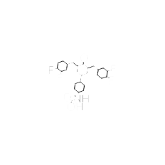 O=C(O)Nc1ccc(C2C/C(=C\c3ccc(F)c(F)c3)C(=O)/C(=C/c3ccc(F)c(F)c3)C2)cc1